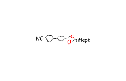 CCCCCCCC1COC(c2ccc(-c3ccc(C#N)cc3)cc2)CO1